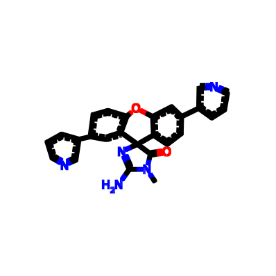 CN1C(=O)C2(N=C1N)c1ccc(-c3cccnc3)cc1Oc1ccc(-c3cccnc3)cc12